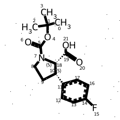 CC(C)(C)OC(=O)N1CC[C@@H](c2ccc(F)cc2)[C@H]1C(=O)O